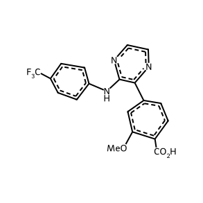 COc1cc(-c2nccnc2Nc2ccc(C(F)(F)F)cc2)ccc1C(=O)O